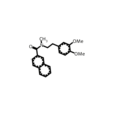 COc1ccc(CCN(C)C(=O)c2[c]cc3ccccc3c2)cc1OC